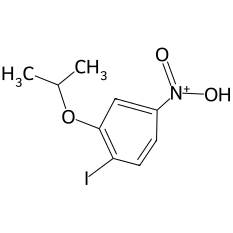 CC(C)Oc1cc([N+](=O)O)ccc1I